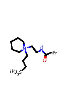 CC(C)C(=O)NCC[N+]1(CCCS(=O)(=O)O)CCCCC1